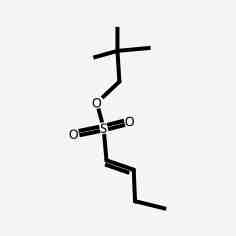 CCC=CS(=O)(=O)OCC(C)(C)C